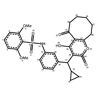 COc1cccc(OC)c1S(=O)(=O)Nc1cccc(C(c2c(O)c3c(oc2=O)CCCCCC3=O)C2CC2)c1